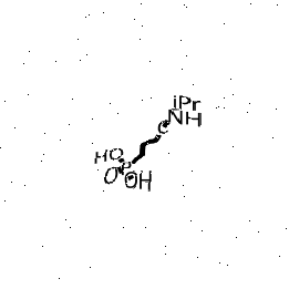 CC(C)NCCCCP(=O)(O)O